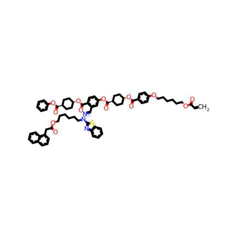 C=CC(=O)OCCCCCCOc1ccc(C(=O)O[C@H]2CC[C@H](C(=O)Oc3ccc(C(=O)O[C@H]4CC[C@H](C(=O)Oc5ccccc5)CC4)c(/C=N/N(CCCCCCOC(=O)Cc4cccc5ccccc45)c4nc5ccccc5s4)c3)CC2)cc1